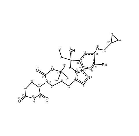 CC[C@@](O)(Cn1nncc1CCCN(C(=O)OC(C)(C)C)C1CCC(=O)NC1=O)c1ccc(F)c(OCC2CC2)c1